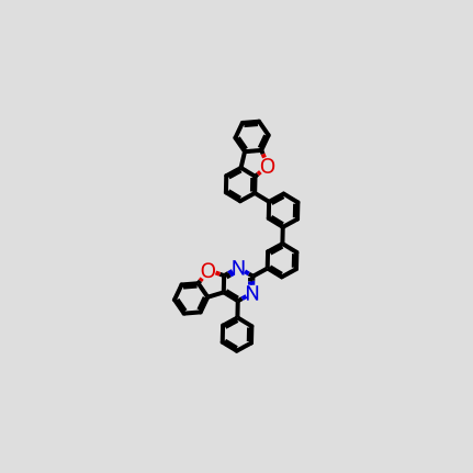 c1ccc(-c2nc(-c3cccc(-c4cccc(-c5cccc6c5oc5ccccc56)c4)c3)nc3oc4ccccc4c23)cc1